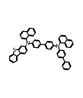 c1ccc(-c2ccc(N(c3ccc(-c4ccc(N(c5ccc6c(c5)sc5ccccc56)c5cccc6ccccc56)cc4)cc3)c3cccc4ccccc34)cc2)cc1